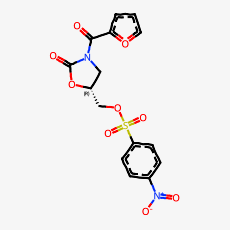 O=C1O[C@@H](COS(=O)(=O)c2ccc([N+](=O)[O-])cc2)CN1C(=O)c1ccco1